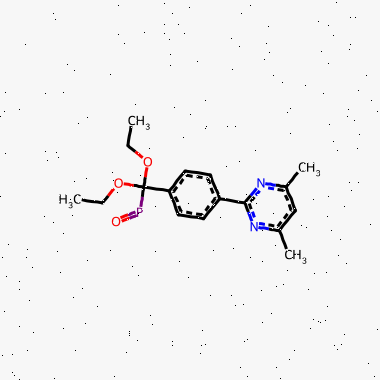 CCOC(OCC)(P=O)c1ccc(-c2nc(C)cc(C)n2)cc1